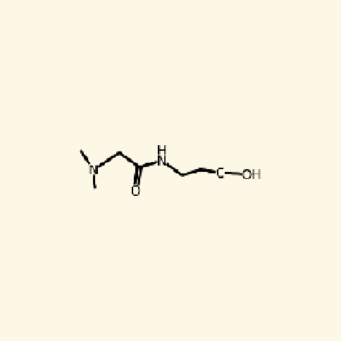 CN(C)CC(=O)NCCCO